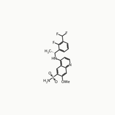 COc1cc2nccc(N[C@H](C)c3cccc(C(F)F)c3F)c2cc1S(N)(=O)=O